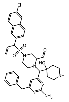 C=CC(c1ccc2cc(Cl)ccc2c1)S(=O)(=O)N1CCN(C(c2cc(Cc3ccccc3)nc(N)n2)C2(O)CCNCC2)C(C=O)C1